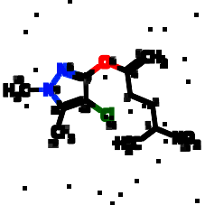 [CH2]C(CCC(=C)Oc1nn(C)c(C(F)(F)F)c1Cl)[N+](=O)[O-]